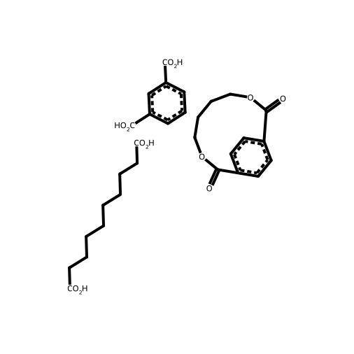 O=C(O)CCCCCCCCC(=O)O.O=C(O)c1cccc(C(=O)O)c1.O=C1OCCCCOC(=O)c2ccc1cc2